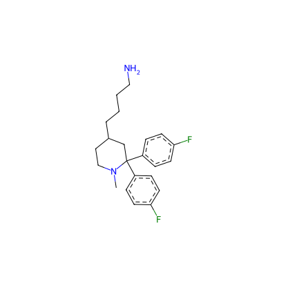 CN1CCC(CCCCN)CC1(c1ccc(F)cc1)c1ccc(F)cc1